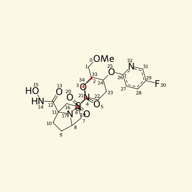 COCCOC(=O)N1CC2CCC(C(=O)NO)(C1)N2S(=O)(=O)N1CCC(Oc2ccc(F)cn2)CC1